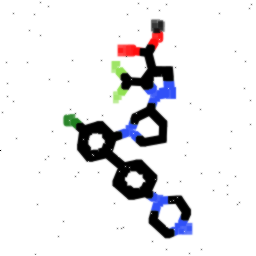 CCOC(O)c1cnn(C2CCCN(c3cc(Cl)ccc3-c3ccc(N4CCNCC4)cc3)C2)c1C(F)F